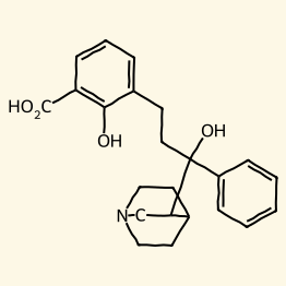 O=C(O)c1cccc(CCC(O)(c2ccccc2)C2CN3CCC2CC3)c1O